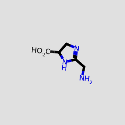 NCC1=NCC(C(=O)O)N1